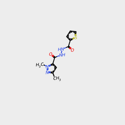 Cc1cc(C(=O)NNC(=O)c2cccs2)n(C)n1